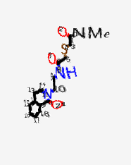 CNC(=O)CSCC(=O)NCCN1CCc2ccccc2C1=O